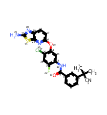 CC(C)(C#N)c1cccc(C(=O)Nc2cc(Oc3ccc4nc(N)sc4n3)c(Cl)cc2F)c1